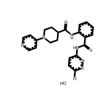 Cl.O=C(Nc1ccc(Cl)nn1)c1ccccc1NC(=O)C1CCN(c2ccncc2)CC1